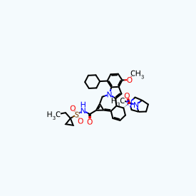 CCC1(S(=O)(=O)NC(=O)C2=C3Cn4c(cc5c(OC)ccc(C6CCCCC6)c54)C4C(=C32)C=CC[C@H]4C(=O)N2C3CCC2CN(C)C3)CC1